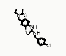 CCN(Cc1ccc(NC(=O)NCc2ccc(Cl)cc2)c(F)c1)C(C)=O